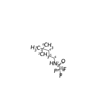 CC(C)(C)CCCNC(=O)C(F)(F)F